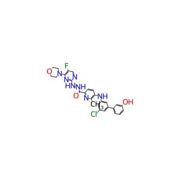 Cc1nc(C(=O)NNc2ncc(F)c(N3CCOCC3)n2)ccc1Nc1cc(Cl)cc(-c2cccc(O)c2)c1